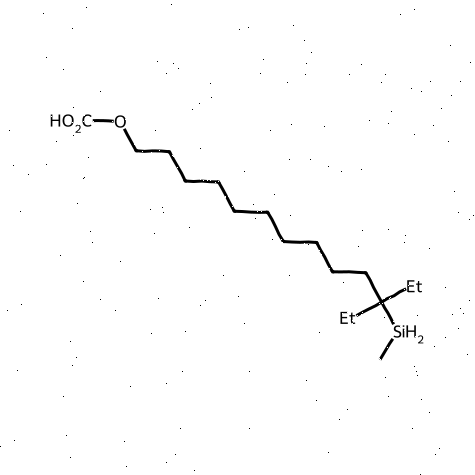 CCC(CC)(CCCCCCCCCCOC(=O)O)[SiH2]C